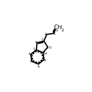 C=CCC1=Cc2ccccc2[CH]1